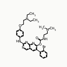 CCN(CC)CCOc1ccc(Nc2ncc3cc(-c4ccccc4Br)c(OC(=O)NCCN(C)C)nc3n2)cc1